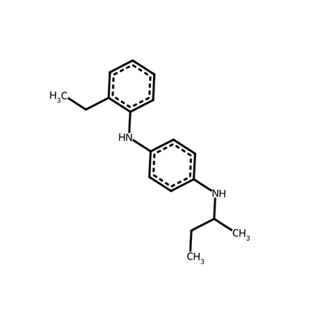 CCc1ccccc1Nc1ccc(NC(C)CC)cc1